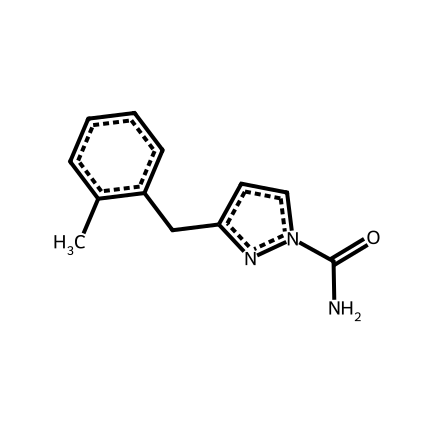 Cc1ccccc1Cc1ccn(C(N)=O)n1